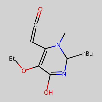 CCCCC1N=C(O)C(OCC)=C(C=C=O)N1C